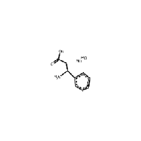 Cl.Cl.NC(CC(=O)O)c1cccnc1